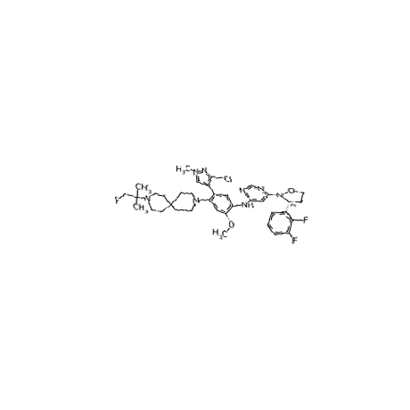 COc1cc(N2CCC3(CC2)CCN(C(C)(C)CF)CC3)c(-c2cn(C)nc2Cl)cc1Nc1cc(N2OCC[C@@H]2c2cccc(F)c2F)ncn1